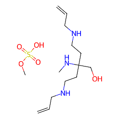 C=CCNCCC(CO)(CCNCC=C)NC.COS(=O)(=O)O